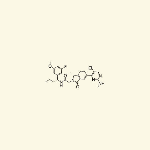 CCC[C@@H](NC(=O)CN1C(=O)c2cc(-c3nc(NC)ncc3Cl)ccc2[C@H]1C)c1cc(F)cc(OC)c1